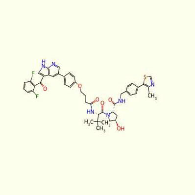 Cc1ncsc1-c1ccc(CNC(=O)[C@@H]2C[C@@H](O)CN2C(=O)[C@@H](NC(=O)CCCOc2ccc(-c3cnc4[nH]cc(C(=O)c5c(F)cccc5F)c4c3)cc2)C(C)(C)C)cc1